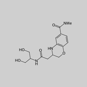 CNC(=O)c1ccc2c(c1)NC(CC(=O)NC(CO)CO)CO2